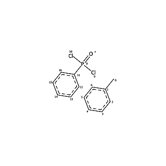 Cc1ccccc1.O=P(Cl)(Cl)c1ccccc1